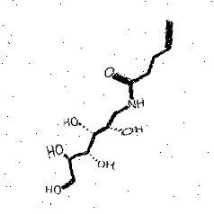 C=CCCC(=O)NC[C@H](O)[C@@H](O)[C@H](O)[C@H](O)CO